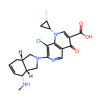 CN[C@@H]1C=CC[C@@H]2CN(c3ncc4c(=O)c(C(=O)O)cn([C@@H]5C[C@@H]5F)c4c3Cl)C[C@@H]21